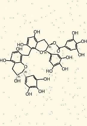 O=C(O[C@@H]1Cc2c(O)cc(O)c(Cc3c(O)cc(O)c4c3O[C@H](c3cc(O)c(O)c(O)c3)[C@H](O)C4)c2O[C@@H]1c1cc(O)c(O)c(O)c1)c1cc(O)c(O)c(O)c1